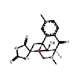 Cc1ccc2c(c1)[C@]13CCN(C)[C@H](C2=O)[C@]1(O)CC[C@@]1(C3)NC(=O)NC1=O